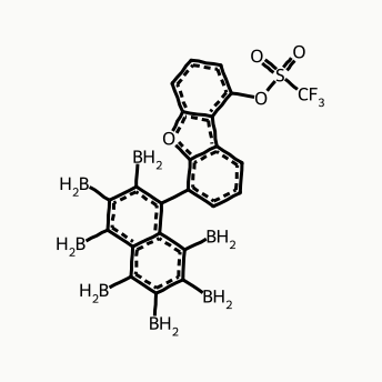 Bc1c(B)c(B)c2c(-c3cccc4c3oc3cccc(OS(=O)(=O)C(F)(F)F)c34)c(B)c(B)c(B)c2c1B